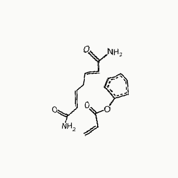 C=CC(=O)Oc1ccccc1.NC(=O)C=CCC=CC(N)=O